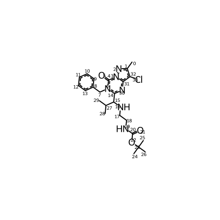 Cc1nn2c(=O)n(Cc3ccccc3)c(C(NCCNC(=O)OC(C)(C)C)C(C)C)nc2c1Cl